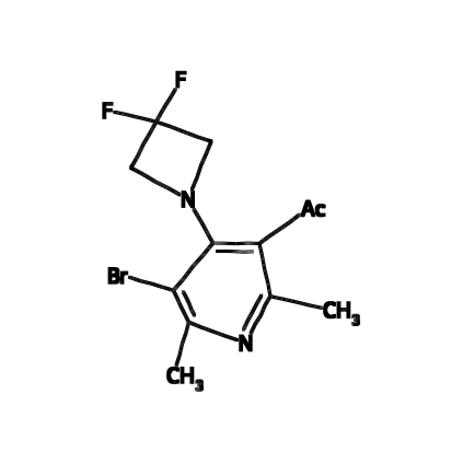 CC(=O)c1c(C)nc(C)c(Br)c1N1CC(F)(F)C1